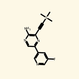 CS(C)(C)C#Cc1nc(-c2cncc(F)c2)cnc1N